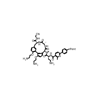 CCCCCc1ccc(-c2ccc(C(=O)N[C@@H](CCN)C(=O)N(C)[C@@H]3C(=O)N[C@@H](C)C(=O)N[C@H](C(=O)NCC#N)Cc4ccc(OCCN)c(c4)-c4cc3ccc4OCCN)c(C)n2)cc1